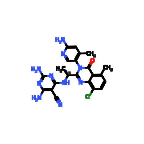 Cc1cc(N)ncc1-n1c([C@H](C)Nc2nc(N)nc(N)c2C#N)nc2c(Cl)ccc(C)c2c1=O